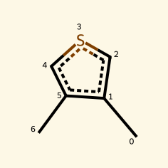 Cc1cscc1C